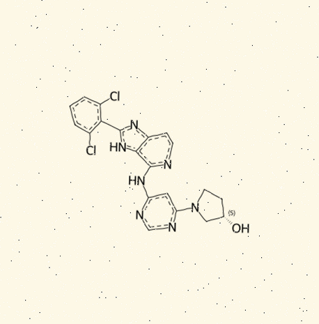 O[C@H]1CCN(c2cc(Nc3nccc4nc(-c5c(Cl)cccc5Cl)[nH]c34)ncn2)C1